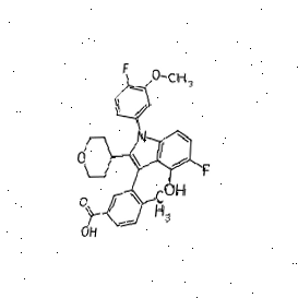 COc1cc(-n2c(C3CCOCC3)c(-c3cc(C(=O)O)ccc3C)c3c(O)c(F)ccc32)ccc1F